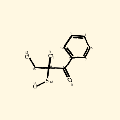 O=C(c1ccccc1)C(Cl)(CCl)SCl